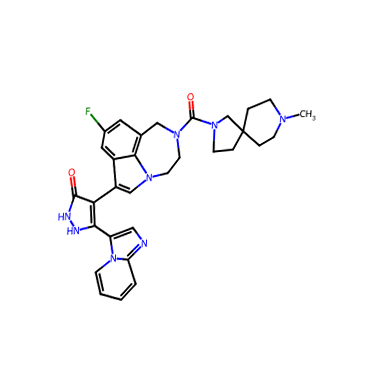 CN1CCC2(CC1)CCN(C(=O)N1CCn3cc(-c4c(-c5cnc6ccccn56)[nH][nH]c4=O)c4cc(F)cc(c43)C1)C2